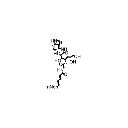 CCCCCCCCC/C=C/C=C/C(=O)NCC(=O)N[C@@H]1[C@@H](O)[C@@H](O)[C@@H](Nc2ncnc3[nH]cnc23)O[C@H]1[C@@H](O)CO